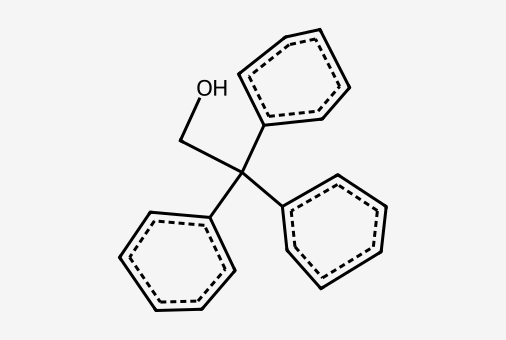 OCC(c1ccccc1)(c1ccccc1)c1ccccc1